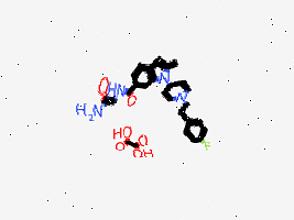 Cc1cc2ccc(C(=O)NCC(N)=O)cc2n1C1CCN(CCc2ccc(F)cc2)CC1.O=C(O)C(=O)O